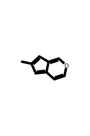 Cc1cc2ccocc-2c1